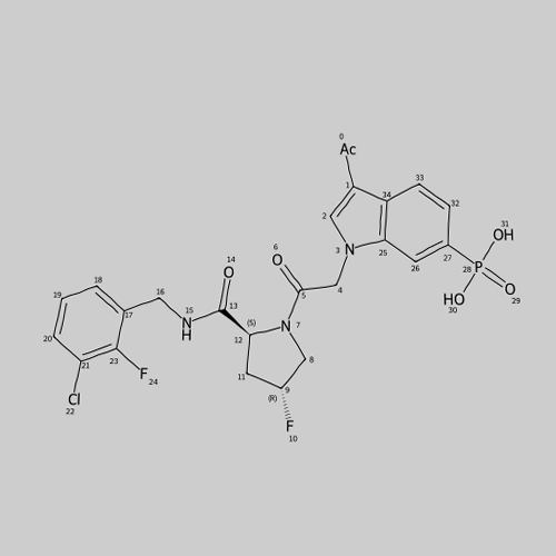 CC(=O)c1cn(CC(=O)N2C[C@H](F)C[C@H]2C(=O)NCc2cccc(Cl)c2F)c2cc(P(=O)(O)O)ccc12